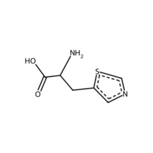 NC(Cc1cncs1)C(=O)O